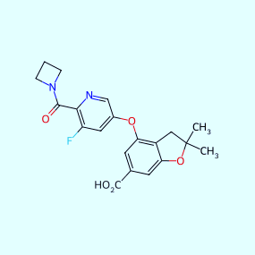 CC1(C)Cc2c(Oc3cnc(C(=O)N4CCC4)c(F)c3)cc(C(=O)O)cc2O1